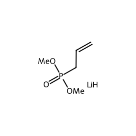 C=CCP(=O)(OC)OC.[LiH]